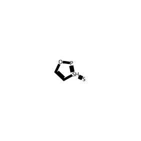 S=[SH]1=POC=C1